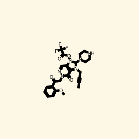 CC#CCN1c2c(cnn(CC(=O)c3ccccc3OC)c2=O)N(OC(=O)C(F)(F)F)C1N1CCNCC1